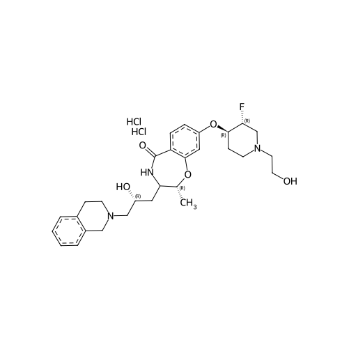 C[C@H]1Oc2cc(O[C@@H]3CCN(CCO)C[C@H]3F)ccc2C(=O)NC1C[C@@H](O)CN1CCc2ccccc2C1.Cl.Cl